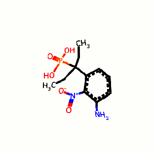 CCC(CC)(c1cccc(N)c1[N+](=O)[O-])P(=O)(O)O